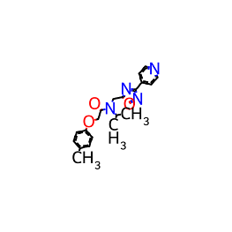 Cc1ccc(OCC(=O)N(Cc2nc(-c3ccncc3)no2)C(C)C)cc1